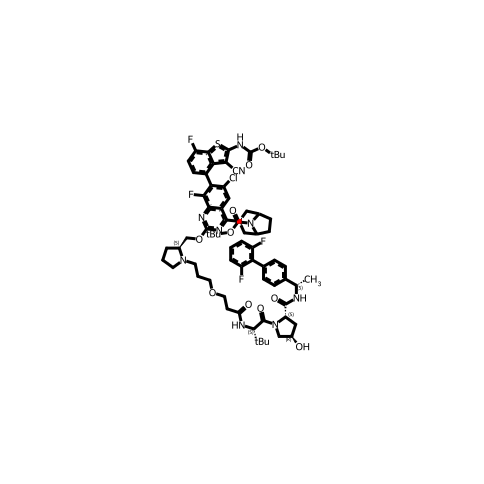 C[C@H](NC(=O)[C@@H]1C[C@@H](O)CN1C(=O)[C@@H](NC(=O)CCOCCCN1CCC[C@H]1COc1nc(N2CC3CCC(C2)N3C(=O)OC(C)(C)C)c2cc(Cl)c(-c3ccc(F)c4sc(NC(=O)OC(C)(C)C)c(C#N)c34)c(F)c2n1)C(C)(C)C)c1ccc(-c2c(F)cccc2F)cc1